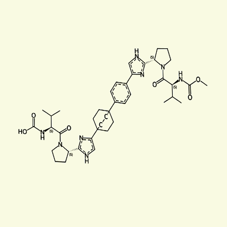 COC(=O)N[C@H](C(=O)N1CCC[C@H]1c1nc(-c2ccc(C34CCC(c5c[nH]c([C@@H]6CCCN6C(=O)[C@@H](NC(=O)O)C(C)C)n5)(CC3)CC4)cc2)c[nH]1)C(C)C